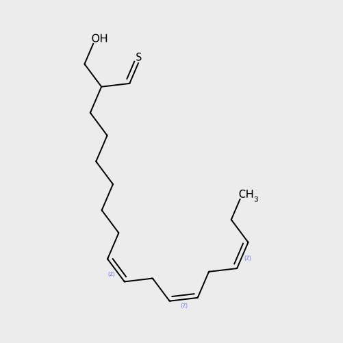 CC/C=C\C/C=C\C/C=C\CCCCCCC(C=S)CO